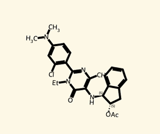 CCn1c(-c2ccc(N(C)C)cc2Cl)nc(C)c(N[C@H]2c3ccccc3C[C@@H]2OC(C)=O)c1=O